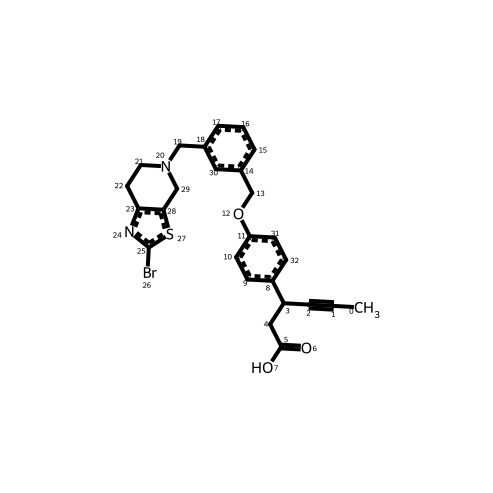 CC#CC(CC(=O)O)c1ccc(OCc2cccc(CN3CCc4nc(Br)sc4C3)c2)cc1